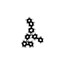 c1ccc(-c2ccc(N(c3ccc(-c4ccc5ccccc5c4)cc3)c3cccc(-n4c5ccccc5c5ccccc54)c3)cc2)cc1